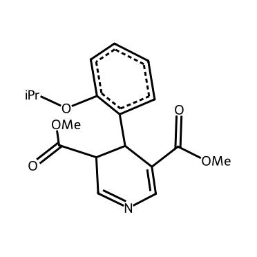 COC(=O)C1=CN=CC(C(=O)OC)C1c1ccccc1OC(C)C